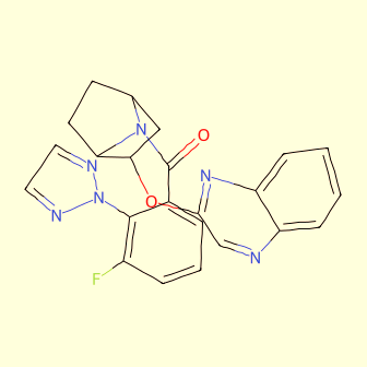 O=C(c1cccc(F)c1-n1nccn1)N1C2CCC1C(Oc1cnc3ccccc3n1)C2